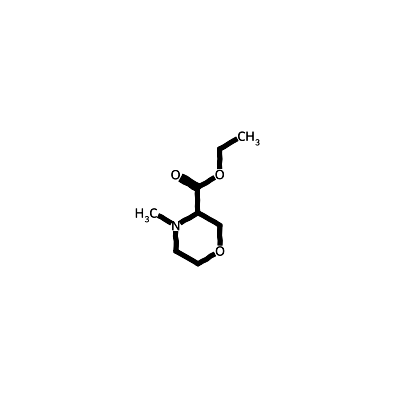 CCOC(=O)C1COCCN1C